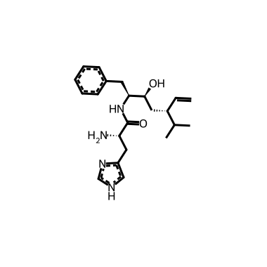 C=C[C@@H](C[C@H](O)[C@H](Cc1ccccc1)NC(=O)[C@@H](N)Cc1c[nH]cn1)C(C)C